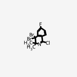 CC1(C)N=C(Cl)c2ccc(F)cc2C1(Br)Br